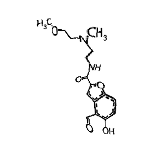 COCCN(C)CCNC(=O)c1cc2c(C=O)c(O)ccc2o1